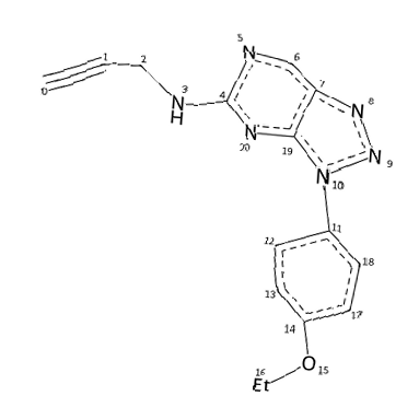 C#CCNc1ncc2nnn(-c3ccc(OCC)cc3)c2n1